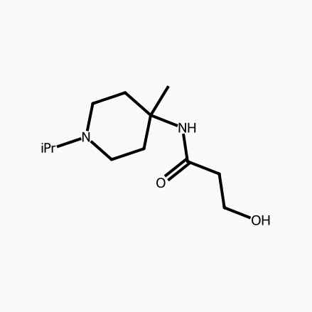 CC(C)N1CCC(C)(NC(=O)CCO)CC1